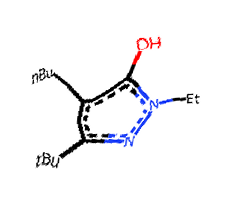 CCCCc1c(C(C)(C)C)nn(CC)c1O